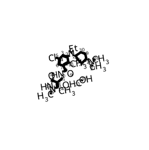 CCN(c1cc(Cl)cc(C(=O)NCc2c(C)n(C)[nH]c2=O)c1C)[C@H]1CC[C@H](N(C)C)CC1.O=CO